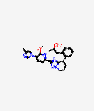 COc1nc(-c2nc3n(n2)CCCC3c2ccccc2CC(C)O)ccc1-n1cnc(C)c1